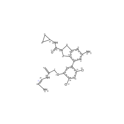 C=C(COc1cc(-c2nc(N)nc3c2CN(C(=O)NC2CC2)C3)c(Cl)cc1Cl)N/C=C\N